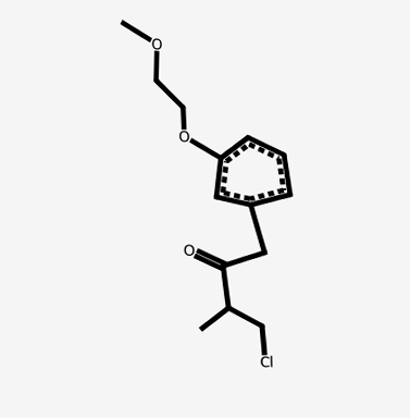 COCCOc1cccc(CC(=O)C(C)CCl)c1